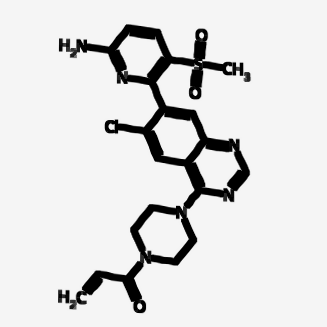 C=CC(=O)N1CCN(c2ncnc3cc(-c4nc(N)ccc4S(C)(=O)=O)c(Cl)cc23)CC1